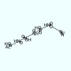 CC(=O)N(O)CCCCCNC(=O)CCC(=O)N(O)CCCCCNC(=O)CCC(=O)N(O)CCCCCNC(=O)OCCCCCCN=[N+]=[N-]